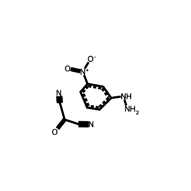 N#CC(=O)C#N.NNc1cccc([N+](=O)[O-])c1